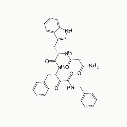 NC(=O)[CH]C(=O)N[C@@H](Cc1c[nH]c2ccccc12)C(=O)N[C@@H](Cc1ccccc1)C(=O)C(=O)NCc1ccccc1